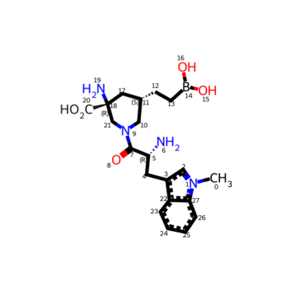 Cn1cc(C[C@@H](N)C(=O)N2C[C@@H](CCB(O)O)C[C@](N)(C(=O)O)C2)c2ccccc21